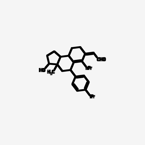 CCCC1=C2C(c3ccc(C(C)C)cc3)CC3(C)C(O)CCC3C2CC/C1=C/C=O